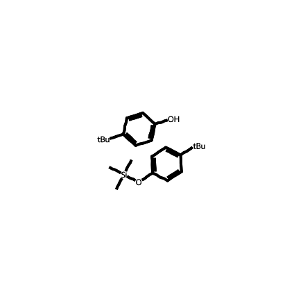 CC(C)(C)c1ccc(O)cc1.CC(C)(C)c1ccc(O[Si](C)(C)C)cc1